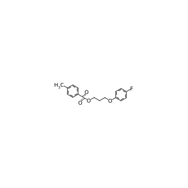 Cc1ccc(S(=O)(=O)OCCCOc2ccc(F)cc2)cc1